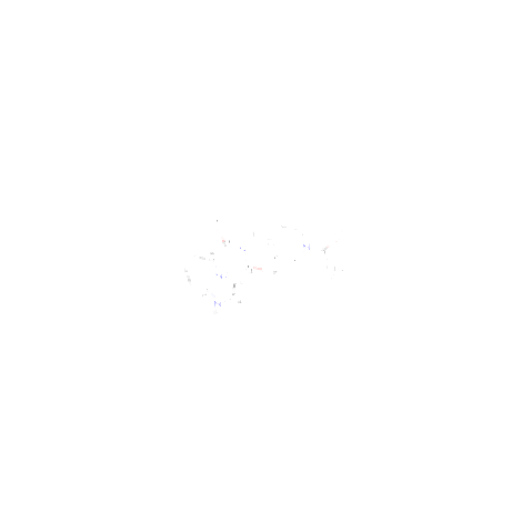 O=C(N1CCC(Cn2c(=O)c3cccc4ncc(c2=O)n43)CC1)C(F)(F)F